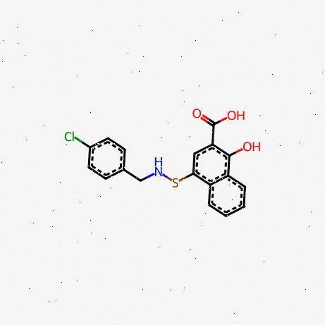 O=C(O)c1cc(SNCc2ccc(Cl)cc2)c2ccccc2c1O